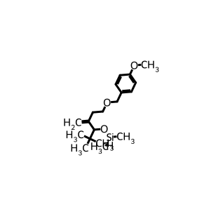 C=C(CCOCc1ccc(OC)cc1)C(O[SiH](C)C)C(C)(C)C